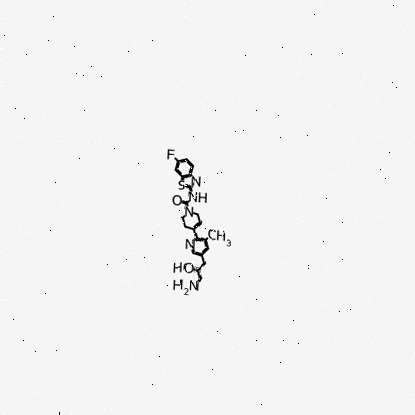 Cc1cc(C[C@H](O)CN)cnc1C1=CCN(C(=O)Nc2nc3ccc(F)cc3s2)CC1